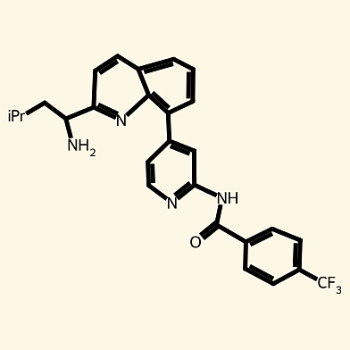 CC(C)CC(N)c1ccc2cccc(-c3ccnc(NC(=O)c4ccc(C(F)(F)F)cc4)c3)c2n1